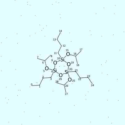 CCCC[Si]1(OC(C)C)O[Si](CCCC)(OC(C)C)O[Si](CCCC)(OC(C)C)O1